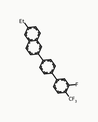 CCc1ccc2cc(-c3ccc(-c4ccc(C(F)(F)F)c(F)c4)cc3)ccc2c1